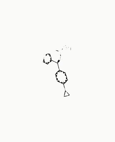 CC(C)(C)[S+]([O-])/N=C(/c1ccc(C2CC2)cc1)c1ccsc1